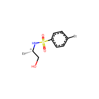 CCc1ccc(S(=O)(=O)N[C@@H](CC)CO)cc1